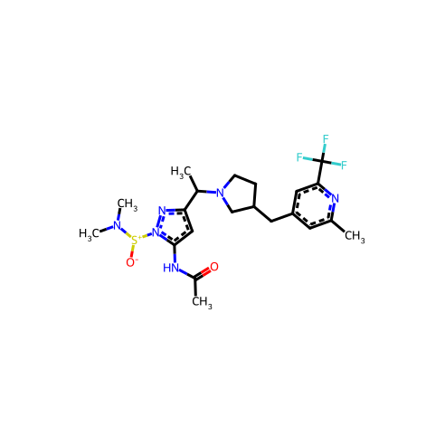 CC(=O)Nc1cc(C(C)N2CCC(Cc3cc(C)nc(C(F)(F)F)c3)C2)nn1[S+]([O-])N(C)C